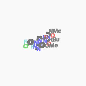 CN[C@@H](C)C(=O)N[C@H](C(=O)N(C(=O)[C@@H]1CCCN1)c1cc2c(Nc3ccc(F)c(Cl)c3F)ncnc2cc1OC)C(C)(C)C